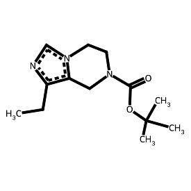 CCc1ncn2c1CN(C(=O)OC(C)(C)C)CC2